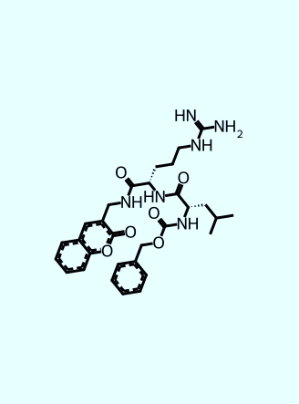 CC(C)C[C@H](NC(=O)OCc1ccccc1)C(=O)N[C@@H](CCCNC(=N)N)C(=O)NCc1cc2ccccc2oc1=O